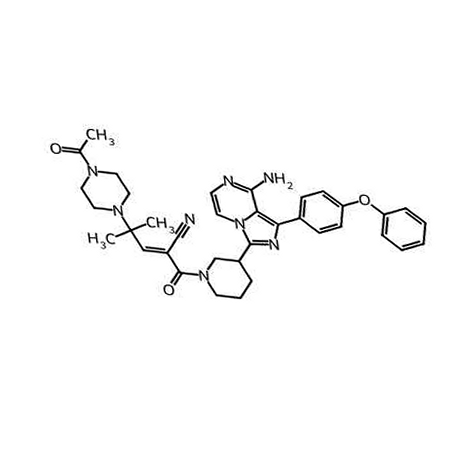 CC(=O)N1CCN(C(C)(C)C=C(C#N)C(=O)N2CCCC(c3nc(-c4ccc(Oc5ccccc5)cc4)c4c(N)nccn34)C2)CC1